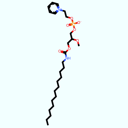 CCCCCCCCCCCCCCNC(=O)OCC(COP(=O)([O-])OCC[n+]1ccccc1)OC